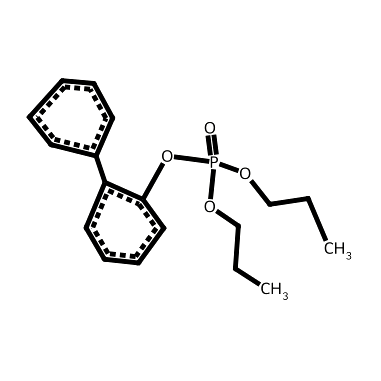 CCCOP(=O)(OCCC)Oc1ccccc1-c1ccccc1